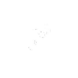 CCN(C)C/C=N/Cc1cc(C=O)c(C2(C(F)(F)F)CCO2)cc1C